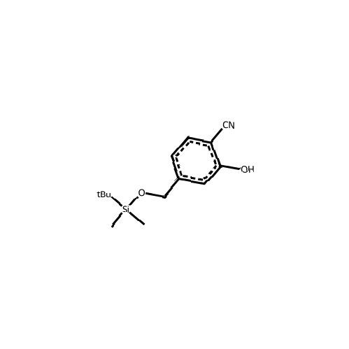 CC(C)(C)[Si](C)(C)OCc1ccc(C#N)c(O)c1